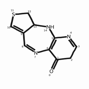 O=C1CC=NC2=C1N=CC1=CSCC1N2